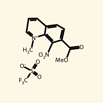 COC(=O)c1ccc2ccc[n+](C)c2c1[N+](=O)[O-].O=S(=O)([O-])C(F)(F)F